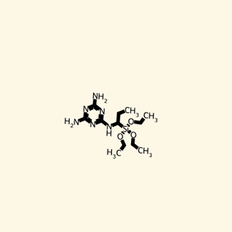 CCO[Si](OCC)(OCC)C(CC)Nc1nc(N)nc(N)n1